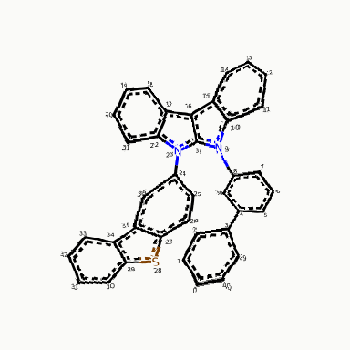 c1ccc(-c2cccc(-n3c4ccccc4c4c5ccccc5n(-c5ccc6sc7ccccc7c6c5)c43)c2)cc1